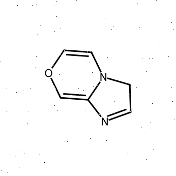 C1=CN2CC=NC2=CO1